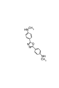 CNc1ccc(-c2nnc(-c3ccc(NC)cc3)o2)cc1